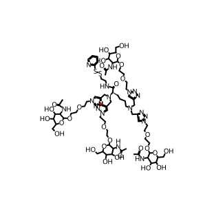 CC(=O)NC1C(OCCOCCn2cc(CN(CCCC[C@H](C(=O)NCCSSc3ccccn3)N(Cc3cn(CCOCCOC4OC(CO)C(O)C(O)C4NC(C)=O)nn3)Cc3cn(CCOCCOC4OC(CO)C(O)C(O)C4NC(C)=O)nn3)Cc3cn(CCOCCOC4OC(CO)C(O)C(O)C4NC(C)=O)nn3)nn2)OC(CO)C(O)C1O